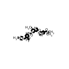 CC[C@H]1CN(C(=O)Nc2ccc(CN3CCN(C)CC3)c(C(F)(F)F)c2)Cc2cc(Oc3ncnn4cc(C(=O)N(C)C)cc34)cnc21